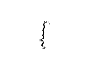 NCCCCCCNCCO